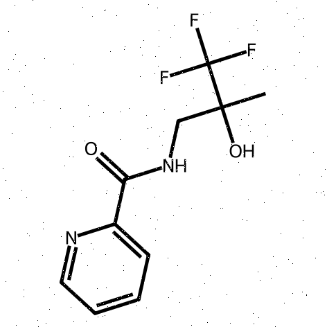 CC(O)(CNC(=O)c1ccccn1)C(F)(F)F